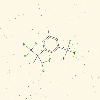 Cc1cc(C(F)(F)F)cc(C2(C(F)(F)F)CC2(F)F)c1